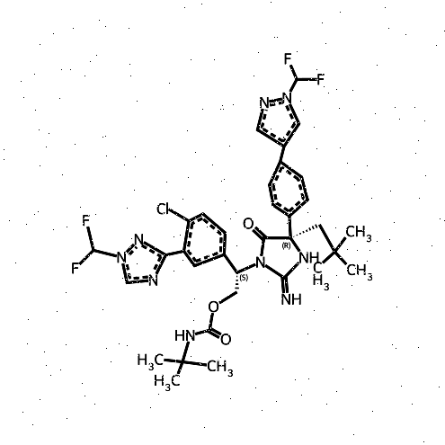 CC(C)(C)C[C@]1(c2ccc(-c3cnn(C(F)F)c3)cc2)NC(=N)N([C@H](COC(=O)NC(C)(C)C)c2ccc(Cl)c(-c3ncn(C(F)F)n3)c2)C1=O